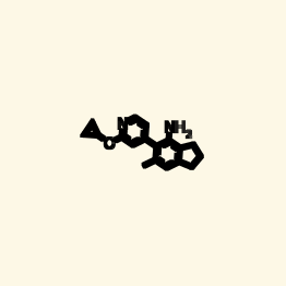 Cc1cc2c(c(N)c1-c1ccnc(OC3CC3)c1)CCC2